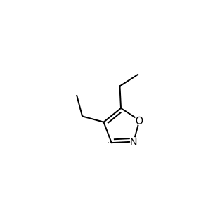 CCc1[c]noc1CC